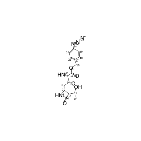 C[C@@H](O)[C@H]1C(=O)N[C@@H]1CC(=O)C(=N)C(=O)OCc1ccc(N=[N+]=[N-])cc1